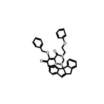 O=C1c2c(OCc3ccccc3)c(=O)ccn2N(C23C(=Cc4ccccc42)Cc2ccccc23)CN1CCOc1ccccc1